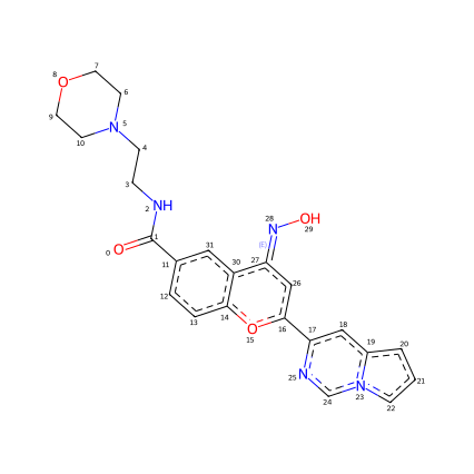 O=C(NCCN1CCOCC1)c1ccc2oc(-c3cc4cccn4cn3)c/c(=N\O)c2c1